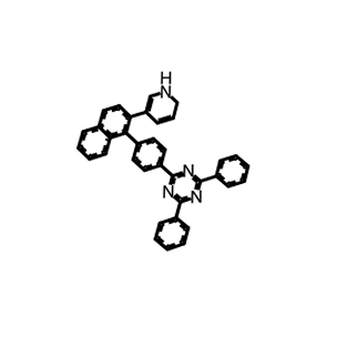 C1=CC(c2ccc3ccccc3c2-c2ccc(-c3nc(-c4ccccc4)nc(-c4ccccc4)n3)cc2)=CNC1